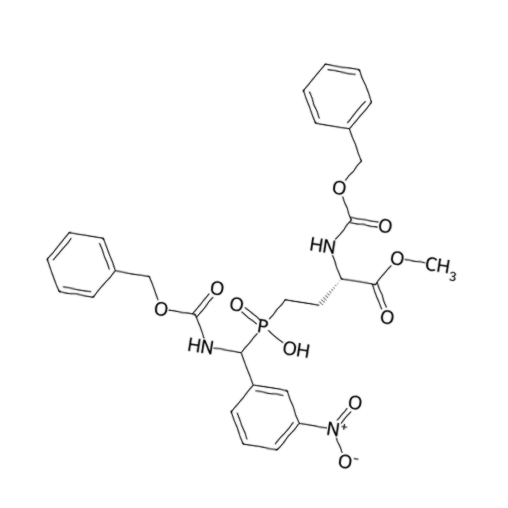 COC(=O)[C@H](CCP(=O)(O)C(NC(=O)OCc1ccccc1)c1cccc([N+](=O)[O-])c1)NC(=O)OCc1ccccc1